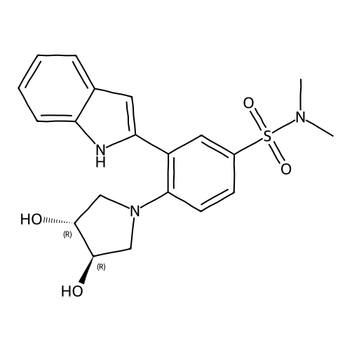 CN(C)S(=O)(=O)c1ccc(N2C[C@@H](O)[C@H](O)C2)c(-c2cc3ccccc3[nH]2)c1